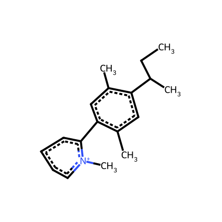 CCC(C)c1cc(C)c(-c2cccc[n+]2C)cc1C